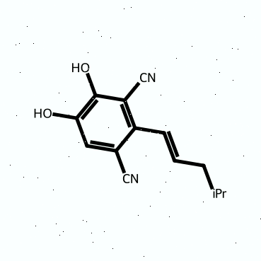 CC(C)CC=Cc1c(C#N)cc(O)c(O)c1C#N